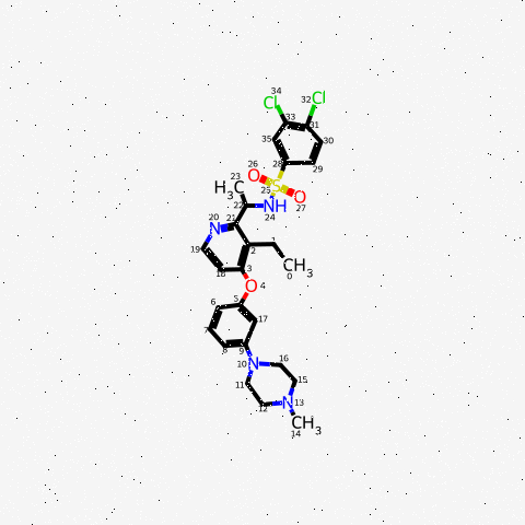 CCc1c(Oc2cccc(N3CCN(C)CC3)c2)ccnc1C(C)NS(=O)(=O)c1ccc(Cl)c(Cl)c1